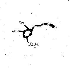 [N-]=[N+]=NCOc1cc(C(=O)O)cc(O)c1N=O